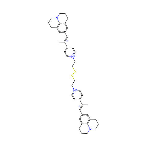 C/C(=C\c1cc2c3c(c1)CCCN3CCC2)c1cc[n+](CCSSCC[n+]2ccc(/C(C)=C/c3cc4c5c(c3)CCCN5CCC4)cc2)cc1